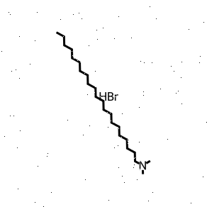 Br.CCCCCCCCCCCCCCCCCCCCCN(C)C